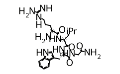 CC(C)C[C@H](NC(=O)[C@@H](N)CCCNC(=N)N)C(=O)N[C@@H](Cc1c[nH]c2ccccc12)C(=O)NCC(N)=O